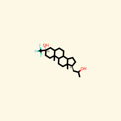 CC(O)C[C@@H]1CCC2C3CCC4C[C@](O)(C(F)(F)F)CCC4(C)C3CCC21C